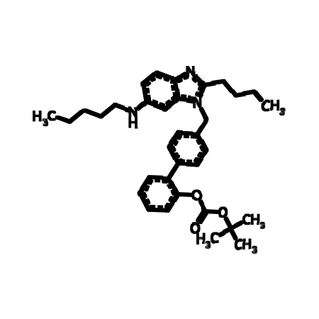 CCCCCNc1ccc2nc(CCCC)n(Cc3ccc(-c4ccccc4OC(=O)OC(C)(C)C)cc3)c2c1